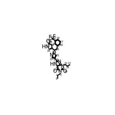 CCCn1c(=O)c2[nH]c(-c3cnn(C(Cc4cccc(C(F)(F)F)c4)C4CNC(=O)C4)c3)nc2n(CCC)c1=O